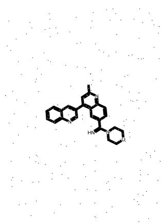 Cc1cc(-c2cnc3ccccc3c2)c2cc(C(=N)N3CCOCC3)ccc2n1